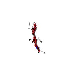 CCCCCc1ccc(/N=N/c2ccc(OCCCCCCOC(=O)C(C)(CC)CC(C)(C)C(=O)OCCCCCCCCCCOc3ccc(C(=O)Oc4ccc(/C=C/C(=O)OCCOC)cc4OC)cc3)cc2)cc1